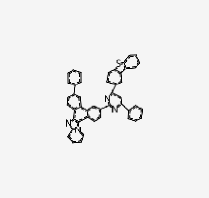 c1ccc(-c2ccc3c(c2)c2cc(-c4nc(-c5ccccc5)cc(-c5ccc6sc7ccccc7c6c5)n4)ccc2c2c3nc3ccccn32)cc1